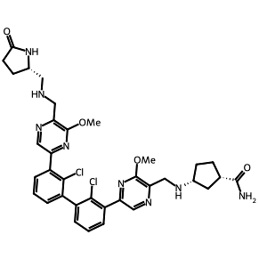 COc1nc(-c2cccc(-c3cccc(-c4cnc(CN[C@@H]5CC[C@H](C(N)=O)C5)c(OC)n4)c3Cl)c2Cl)cnc1CNC[C@@H]1CCC(=O)N1